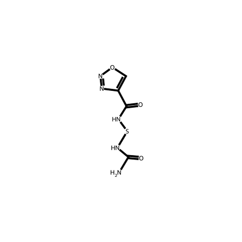 NC(=O)NSNC(=O)c1conn1